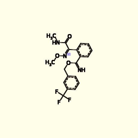 CNC(=O)/C(=N\OC)c1ccccc1C(=N)OCc1cccc(C(F)(F)F)c1